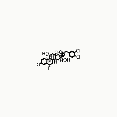 C[C@]12C=CC(=O)C=C1[C@@H](F)C[C@H]1[C@@H]3C[C@H]4CN(Cc5ccc(Cl)c(Cl)c5)O[C@@]4(C(=O)CO)[C@@]3(C)C[C@H](O)[C@@]12F